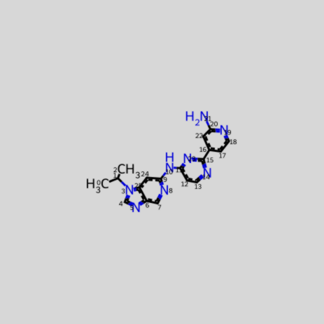 CC(C)n1cnc2cnc(Nc3ccnc(-c4ccnc(N)c4)n3)cc21